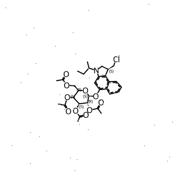 CCC(C)N1C[C@@H](CCl)c2c1cc(O[C@@H]1O[C@H](COC(C)=O)[C@H](OC(C)=O)[C@H](OC(C)=O)[C@H]1OC(C)=O)c1ccccc21